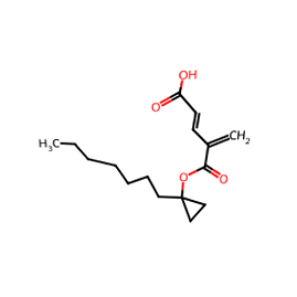 C=C(C=CC(=O)O)C(=O)OC1(CCCCCCC)CC1